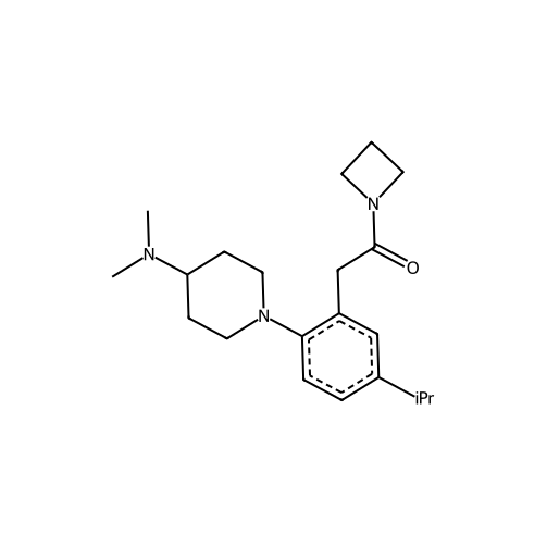 CC(C)c1ccc(N2CCC(N(C)C)CC2)c(CC(=O)N2CCC2)c1